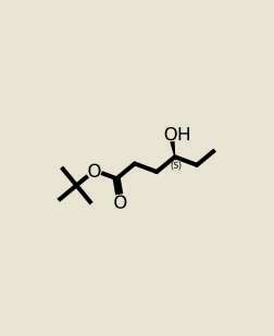 CC[C@H](O)CCC(=O)OC(C)(C)C